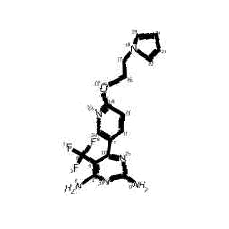 Nc1nc(N)c(C(F)(F)F)c(-c2ccc(OCCn3cccc3)nc2)n1